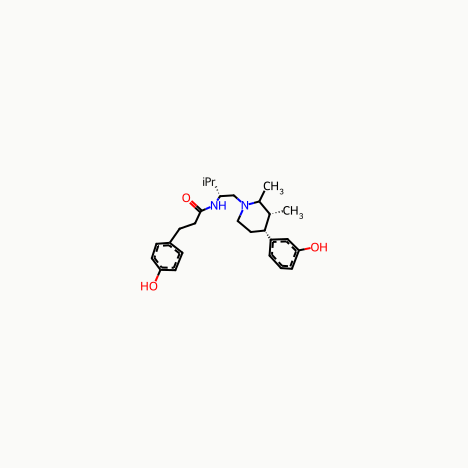 CC(C)[C@H](CN1CC[C@@H](c2cccc(O)c2)[C@@H](C)C1C)NC(=O)CCc1ccc(O)cc1